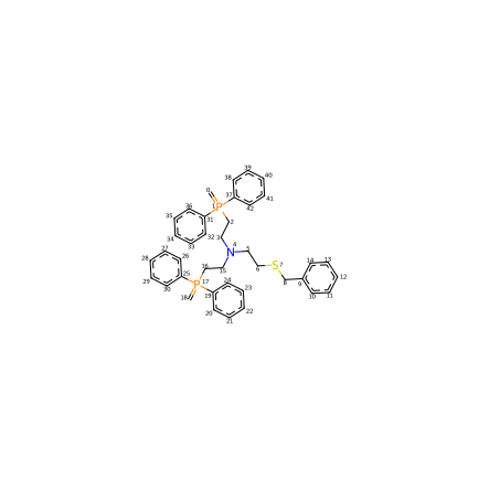 C=P(CCN(CCSCc1ccccc1)CCP(=C)(c1ccccc1)c1ccccc1)(c1ccccc1)c1ccccc1